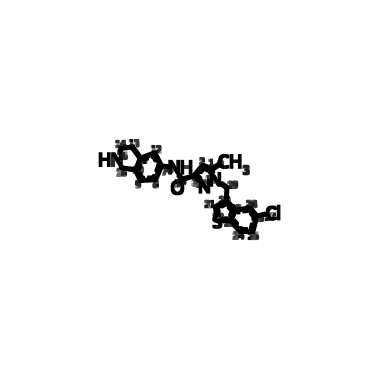 Cc1cc(C(=O)Nc2ccc3c(c2)CCNC3)nn1Cc1csc2ccc(Cl)cc12